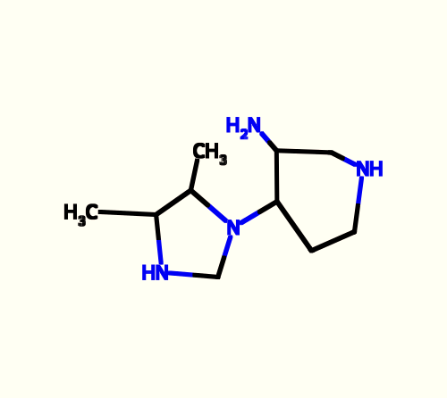 CC1NCN(C2CCNCC2N)C1C